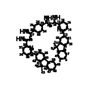 CC1(C)c2ccccc2-c2ccc(-c3cccc(C(=N)SC(=N)c4ccc(C(=N)SC(=N)c5cccc(-c6ccc7c(c6)C(C)(C)c6ccccc6-7)n5)cc4)n3)cc21